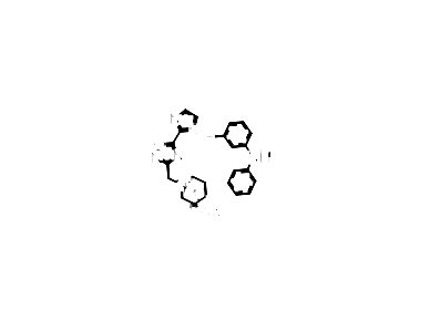 CC(=O)O[C@H]1C[N+]2(Cc3noc(-c4nccs4)n3)CCC1CC2.Fc1cccc(Nc2ccccc2)c1.[Cl-]